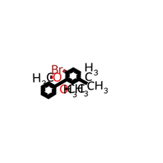 COC(OC)(c1ccccc1)c1cc(C(C)(C)C)ccc1Br